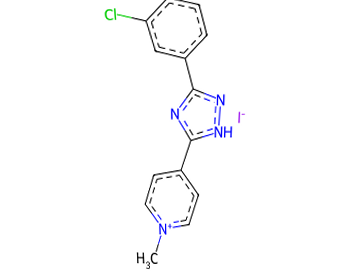 C[n+]1ccc(-c2nc(-c3cccc(Cl)c3)n[nH]2)cc1.[I-]